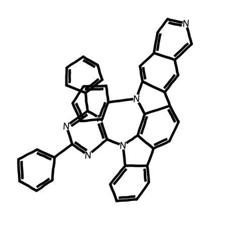 c1ccc(-c2nc(-c3ccccc3)nc(-n3c4ccccc4c4ccc5c6cc7cnccc7cc6n(-c6ccccc6)c5c43)n2)cc1